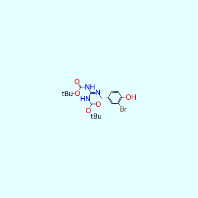 CC(C)(C)OC(=O)NC(=NCc1ccc(O)c(Br)c1)NC(=O)OC(C)(C)C